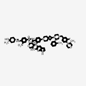 Cc1ccccc1[C@@H]1CN(Cc2ccc(N3CCOC[C@H]3C)c(F)c2)CCN1C1CC2(CCN(c3ccc(C(=O)NS(=O)(=O)c4ccc(NC[C@H]5CC[C@](C)(O)CC5)c([N+](=O)[O-])c4)c(N4c5cc6cc[nH]c6nc5O[C@H]5COCC[C@@H]54)c3)CC2)C1